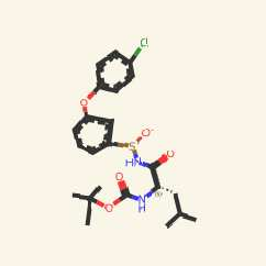 CC(C)C[C@H](NC(=O)OC(C)(C)C)C(=O)N[S+]([O-])c1cccc(Oc2ccc(Cl)cc2)c1